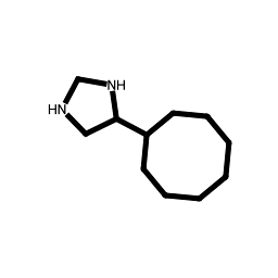 C1CCCC(C2CNCN2)CCC1